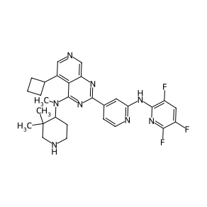 CN(c1nc(-c2ccnc(Nc3nc(F)c(F)cc3F)c2)nc2cncc(C3CCC3)c12)C1CCNCC1(C)C